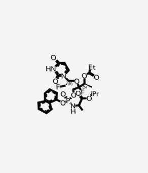 CCC(=O)O[C@@H](C)C(F)(COP(=O)(NC(C)C(=O)OC(C)C)Oc1cccc2ccccc12)O[C@H](CF)n1ccc(=O)[nH]c1=O